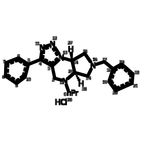 CCCN1Cc2c(-c3ccccc3)nnn2[C@@H]2CN(Cc3ccccc3)C[C@H]21.Cl